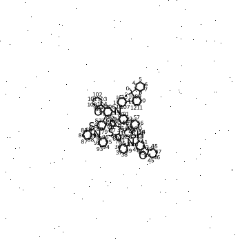 CC1(C)c2ccccc2-c2cccc(-c3cccc(N(c4ccc5c(c4)C4(C6=C5C=[SH]57C(=C6)N(c6ccccc6)c6cc8oc9ccccc9c8cc6C5Cc5ccccc57)c5ccccc5Sc5ccccc54)c4cc(-c5ccc6c(c5)Sc5ccccc5N6c5ccccc5)c5oc6ccccc6c5c4)c3)c21